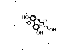 COc1c(O)ccc(C=CC(=O)NCCO)c1-c1ccc(O)cc1